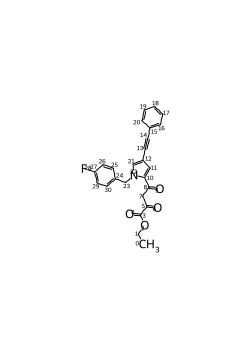 CCOC(=O)C(=O)CC(=O)c1cc(C#Cc2ccccc2)cn1Cc1ccc(F)cc1